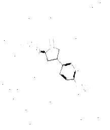 CO/N=C1/CC(c2ccc(OC)cc2)CN1